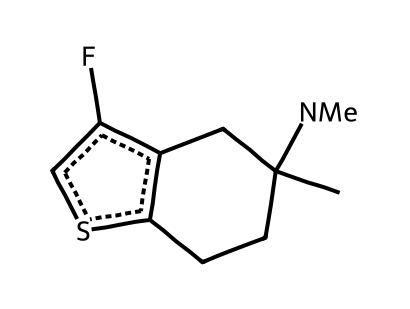 CNC1(C)CCc2scc(F)c2C1